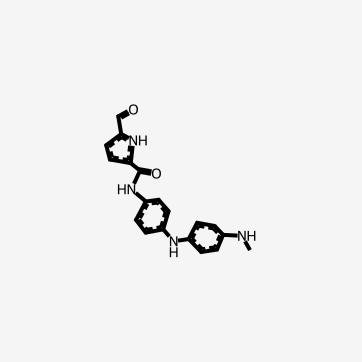 CNc1ccc(Nc2ccc(NC(=O)c3ccc(C=O)[nH]3)cc2)cc1